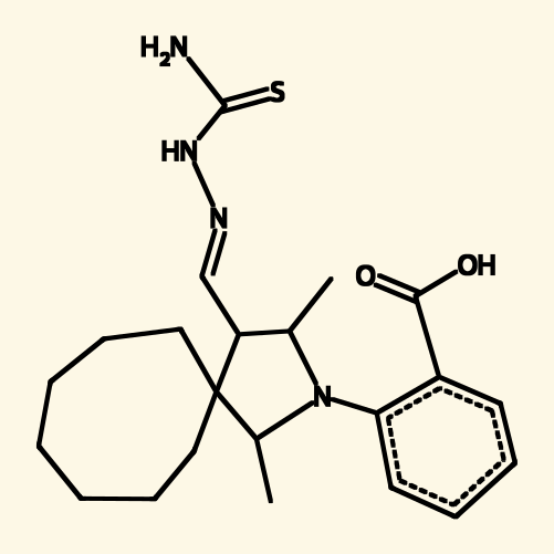 CC1C(/C=N/NC(N)=S)C2(CCCCCCC2)C(C)N1c1ccccc1C(=O)O